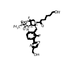 CN(C)S(=O)(=O)N[C@@H]1[C@H](Cc2cccc(-c3nc(CO)co3)c2F)N(C(=O)CCCCCO)CC1(F)F